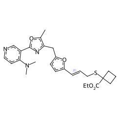 CCOC(=O)C1(SC/C=C/c2ccc(Cc3nc(-c4cnccc4N(C)C)oc3C)o2)CCC1